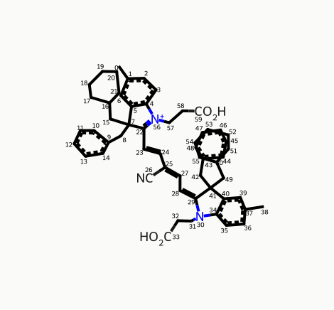 Cc1ccc2c(c1)C(Cc1ccccc1)(CC1CCCCC1)C(/C=C/C(C#N)=C/C=C1/N(CCC(=O)O)c3ccc(C)cc3C1(Cc1ccccc1)CC1CCCCC1)=[N+]2CCC(=O)O